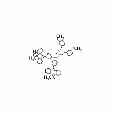 C=Cc1cccc(CCCCC2(CCCCc3cccc(C=C)c3)c3ccc(N4c5ccccc5C(C)(C)c5ccccc54)cc3-c3cc(N4c5ccccc5C(C)(C)c5ccccc54)ccc32)c1